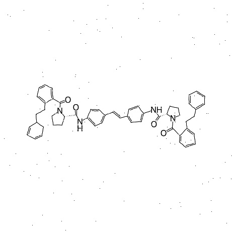 O=C(Nc1ccc(/C=C/c2ccc(NC(=O)[C@@H]3CCCN3C(=O)c3ccccc3CCC3C=CC=CC3)cc2)cc1)[C@@H]1CCCN1C(=O)c1ccccc1CCc1ccccc1